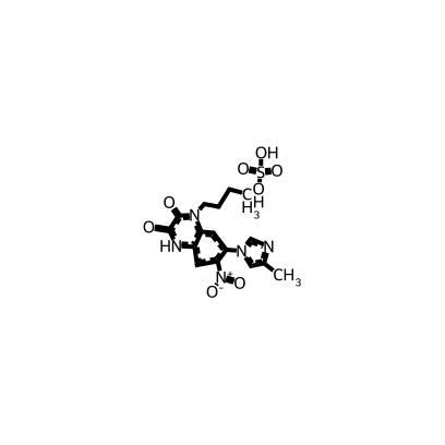 CCCCn1c(=O)c(=O)[nH]c2cc([N+](=O)[O-])c(-n3cnc(C)c3)cc21.O=S(=O)(O)O